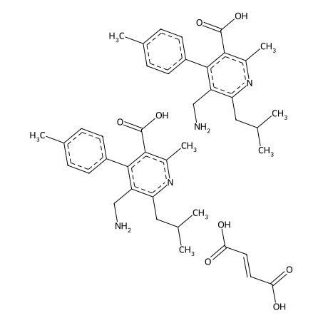 Cc1ccc(-c2c(CN)c(CC(C)C)nc(C)c2C(=O)O)cc1.Cc1ccc(-c2c(CN)c(CC(C)C)nc(C)c2C(=O)O)cc1.O=C(O)/C=C/C(=O)O